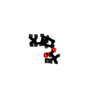 CCC(C)(C)C(=O)OC1CC2CC(C[Si](C)(C)C)C1C2